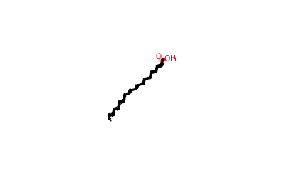 CCCCCCCCC=CCCCCCC=CC=CC(=O)O